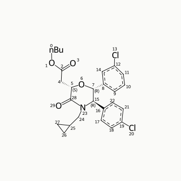 CCCCOC(=O)C[C@@H]1O[C@H](c2cccc(Cl)c2)[C@@H](c2ccc(Cl)cc2)N(CC2CC2)C1=O